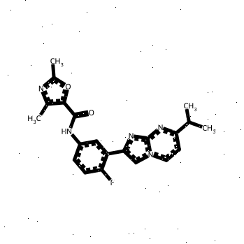 Cc1nc(C)c(C(=O)Nc2ccc(F)c(-c3cn4ccc(C(C)C)nc4n3)c2)o1